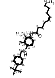 CCCC/C=C\CCCC(=O)Nc1ccc(NCc2ccc(C(F)(F)F)cc2)c(F)c1N